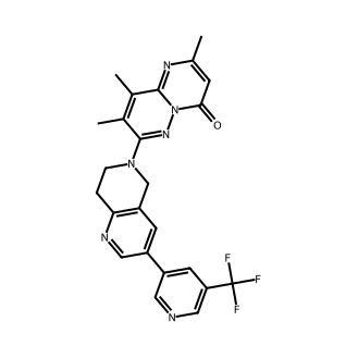 Cc1cc(=O)n2nc(N3CCc4ncc(-c5cncc(C(F)(F)F)c5)cc4C3)c(C)c(C)c2n1